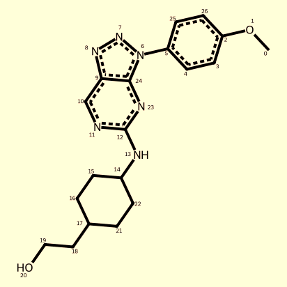 COc1ccc(-n2nnc3cnc(NC4CCC(CCO)CC4)nc32)cc1